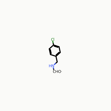 O=[C]NCc1ccc(Cl)cc1